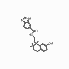 CC1(C)CCc2ccc(O)cc2C1(C)CCNC(=O)c1ccc2nc[nH]c2c1